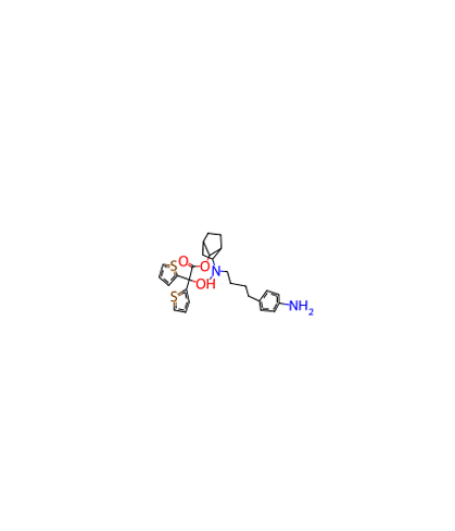 CN(CCCCc1ccc(N)cc1)C1CC2CCC1C2OC(=O)C(O)(c1cccs1)c1cccs1